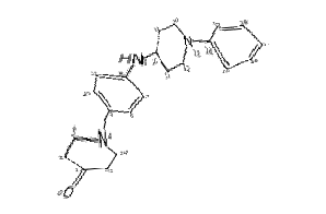 O=C1CCN(c2ccc(NC3CCN(c4ccccc4)CC3)cc2)CC1